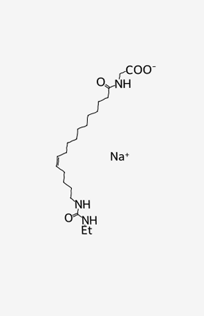 CCNC(=O)NCCCC/C=C\CCCCCCCCCC(=O)NCC(=O)[O-].[Na+]